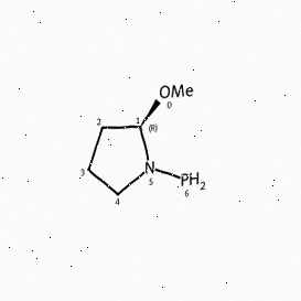 CO[C@@H]1CCCN1P